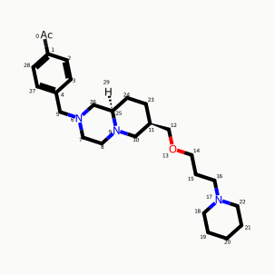 CC(=O)c1ccc(CN2CCN3C[C@H](COCCCN4CCCCC4)CC[C@@H]3C2)cc1